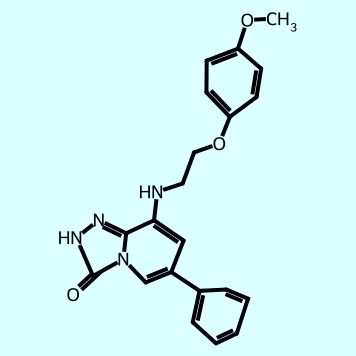 COc1ccc(OCCNc2cc(-c3ccccc3)cn3c(=O)[nH]nc23)cc1